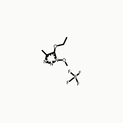 CCOc1c(C)nnn1OC.F[B-](F)(F)F